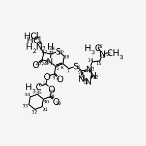 CC(OC(=O)C1=C(CSc2nnnn2CCN(C)C)CS[C@@H]2[C@H](N)C(=O)N12)OC(=O)C1CCCCC1.Cl.Cl